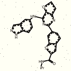 CC(C)NC(=O)c1cc2ccc(-c3nc(Nc4ccc5[nH]ncc5c4)c4occc4n3)cc2s1